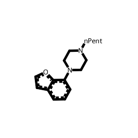 CCCCCN1CCN(c2cccc3ccoc23)CC1